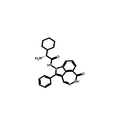 N[C@@H](C(=O)Nn1c(-c2ccccc2)c2c3c(cccc31)C(=O)NN=C2)C1CCCCC1